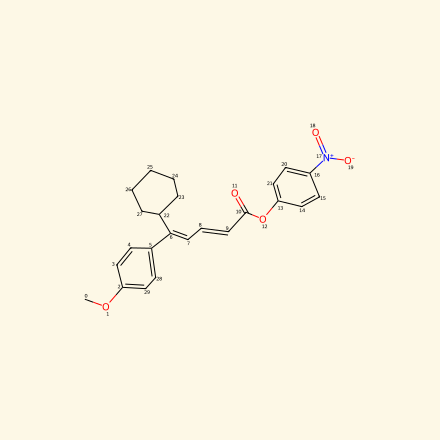 COc1ccc(/C(=C/C=C/C(=O)Oc2ccc([N+](=O)[O-])cc2)C2CCCCC2)cc1